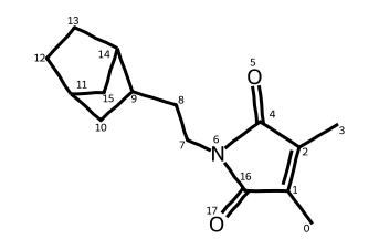 CC1=C(C)C(=O)N(CCC2CC3CCC2C3)C1=O